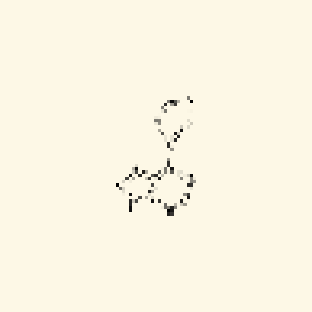 c1cn(-c2ncnc3[nH]cnc23)cn1